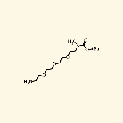 CN(CCOCCOCCOCCN)C(=O)OC(C)(C)C